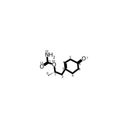 C[C@@H](CC1=CCC(=O)CC1)OC(N)=O